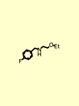 [CH2]COCCNCc1ccc(F)cc1